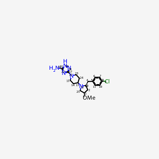 COC1C[C@H](Cc2ccc(Cl)cc2)N(C2CCN(c3n[nH]c(N)n3)CC2)C1